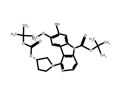 COc1cc2c3c(N4CC[C@H](OC(=O)OC(C)(C)C)C4)nccc3n(C(=O)OC(C)(C)C)c2cc1O